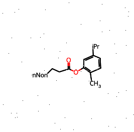 CCCCCCCCCCCC(=O)Oc1cc(C(C)C)ccc1C